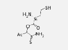 CC(=O)C(OC(=O)[C@H](N)CCS)C(N)=S